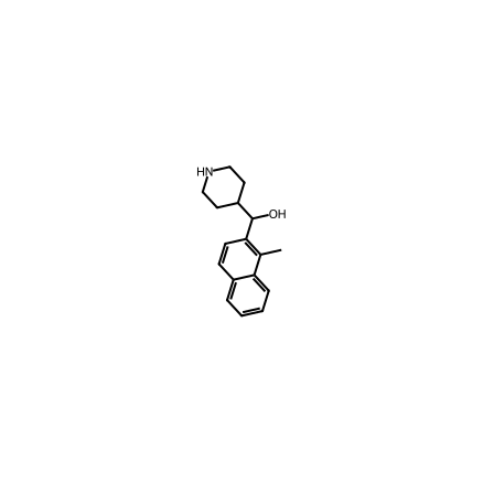 Cc1c(C(O)C2CCNCC2)ccc2ccccc12